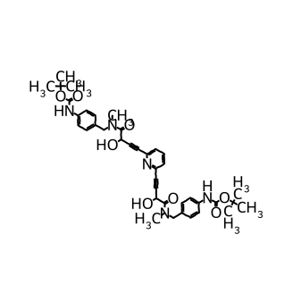 CN(Cc1ccc(NC(=O)OC(C)(C)C)cc1)C(=O)C(O)C#Cc1cccc(C#CC(O)C(=O)N(C)Cc2ccc(NC(=O)OC(C)(C)C)cc2)n1